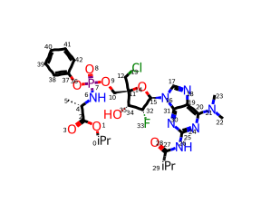 CC(C)OC(=O)[C@H](C)NP(=O)(OC[C@@]1(CCl)O[C@@H](n2cnc3c(N(C)C)nc(NC(=O)C(C)C)nc32)[C@H](F)[C@@H]1O)Oc1ccccc1